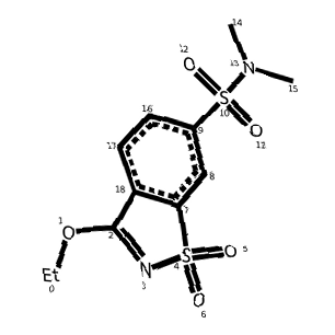 CCOC1=NS(=O)(=O)c2cc(S(=O)(=O)N(C)C)ccc21